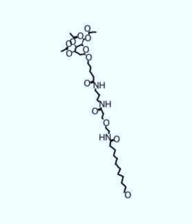 CC(=O)OC[C@H]1O[C@@H](OCCCCC(=O)NCCCNC(=O)CCOCCNC(=O)CCCCCCCCCCC=O)C[C@@H](OC(C)=O)[C@H]1OC(C)=O